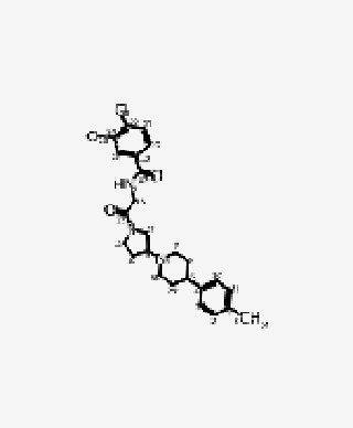 Cc1ccc(C2CCN(C3CCN(C(=O)CNC(=O)c4ccc(Cl)c(Cl)c4)C3)CC2)cc1